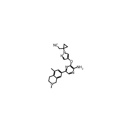 Cc1cc(-c2cnc(N)c(Oc3cnn(C4(CC#N)CC4)c3)n2)cc2c1CCN(C)C2